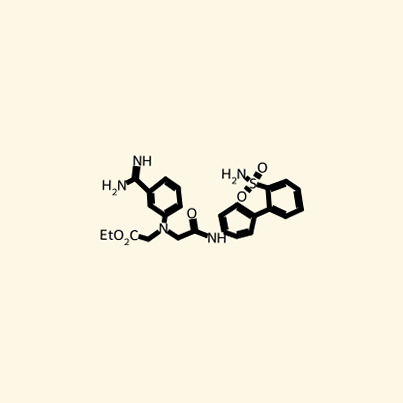 CCOC(=O)CN(CC(=O)Nc1ccc(-c2ccccc2S(N)(=O)=O)cc1)c1cccc(C(=N)N)c1